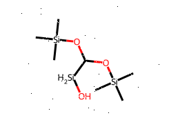 C[Si](C)(C)OC(O[Si](C)(C)C)[SiH2]O